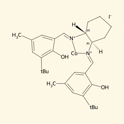 Cc1cc(C=[N+]2[Co][N+](=Cc3cc(C)cc(C(C)(C)C)c3O)[C@@H]3CCCC[C@H]32)c(O)c(C(C)(C)C)c1.[I-]